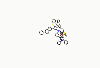 CC1(C)c2ccccc2-c2cccc(N(c3cc(-c4ccc5cc(-c6ccccc6)ccc5c4)c4c(c3)C3(c5ccccc5S4)c4ccccc4-c4ccccc43)c3cccc4sc5cc(N(c6ccccc6)c6ccccc6)ccc5c34)c21